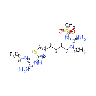 CN(CCCCc1csc(NC(N)=NCC(F)(F)F)n1)C(N)=NS(C)(=O)=O